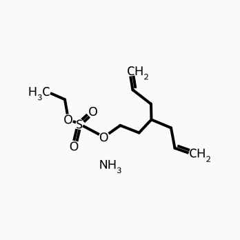 C=CCC(CC=C)CCOS(=O)(=O)OCC.N